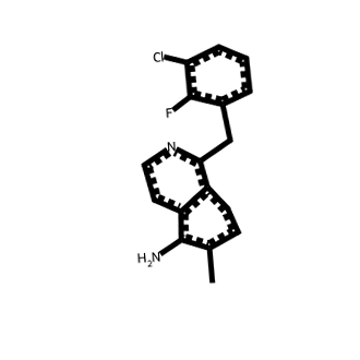 Cc1ccc2c(Cc3cccc(Cl)c3F)nccc2c1N